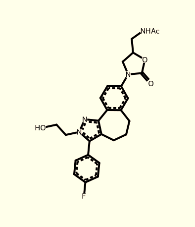 CC(=O)NCC1CN(c2ccc3c(c2)CCCc2c-3nn(CCO)c2-c2ccc(F)cc2)C(=O)O1